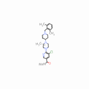 CNC(=O)c1cnc(N2CCN(C3CCN(Cc4c(C)cccc4C)CC3)[C@@H](C)C2)c(Cl)c1